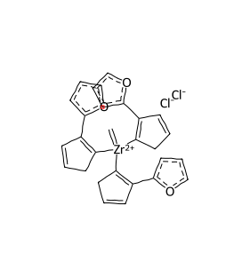 [CH2]=[Zr+2]([C]1=C(c2ccco2)C=CC1)([C]1=C(c2ccco2)C=CC1)[C]1=C(c2ccco2)C=CC1.[Cl-].[Cl-]